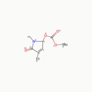 CCC1=CC(OC(=O)OC(C)(C)C)N(C)C1=O